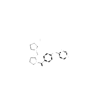 Cl.O=C(c1ccc(Sc2ccncn2)cc1)N1CCC[C@H]1CN1CCCC1